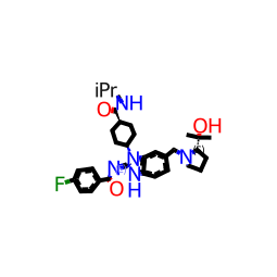 CC(C)NC(=O)[C@H]1CC[C@@H](n2/c(=N/C(=O)c3ccc(F)cc3)[nH]c3ccc(CN4CCC[C@H]4C(C)(C)O)cc32)CC1